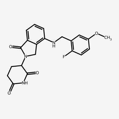 COc1ccc(F)c(CNc2cccc3c2CN(C2CCC(=O)NC2=O)C3=O)c1